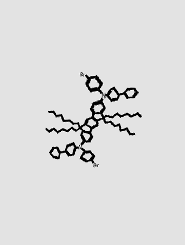 CCCCCCCCC1(CCCCCCCC)c2cc(N(c3ccc(Br)cc3)c3ccc(-c4ccccc4)cc3)ccc2-c2cc3c(cc21)-c1ccc(N(c2ccc(Br)cc2)c2ccc(-c4ccccc4)cc2)cc1C3(CCCCCCCC)CCCCCCCC